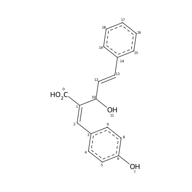 O=C(O)C(=Cc1ccc(O)cc1)C(O)C=Cc1ccccc1